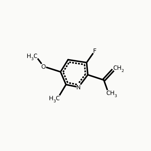 C=C(C)c1nc(C)c(OC)cc1F